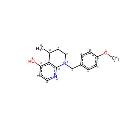 COc1ccc(CN2CCC(C)c3c(O)ccnc32)cc1